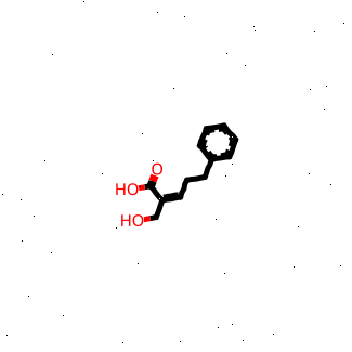 O=C(O)C(=CCCc1ccccc1)CO